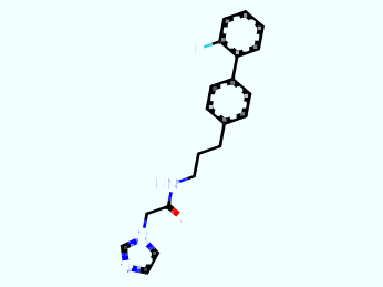 O=C(Cn1ccnc1)NCCCc1ccc(-c2ccccc2F)cc1